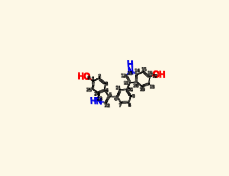 Oc1ccc2c(-c3cccc(-c4c[nH]c5cc(O)ccc45)c3)c[nH]c2c1